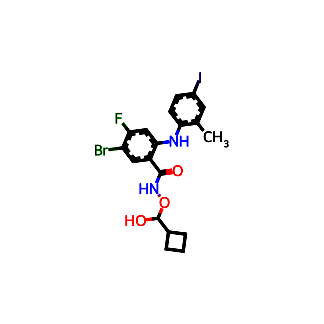 Cc1cc(I)ccc1Nc1cc(F)c(Br)cc1C(=O)NOC(O)C1CCC1